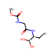 CC(C)C[C@H](NC(=O)CNC(=O)OC(C)(C)C)B(O)O